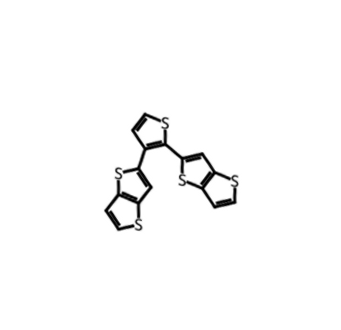 c1cc(-c2cc3sccc3s2)c(-c2cc3sccc3s2)s1